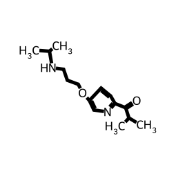 CC(C)NCCCOc1ccc(C(=O)C(C)C)nc1